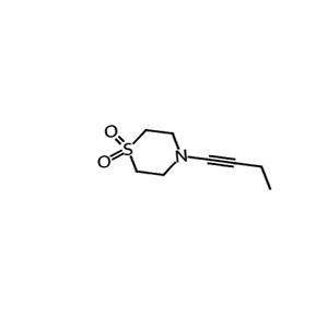 CCC#CN1CCS(=O)(=O)CC1